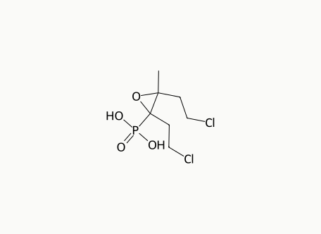 CC1(CCCl)OC1(CCCl)P(=O)(O)O